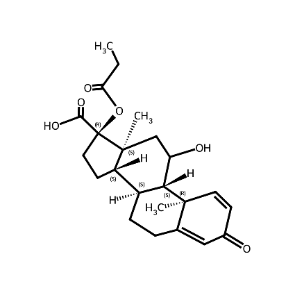 CCC(=O)O[C@]1(C(=O)O)CC[C@H]2[C@@H]3CCC4=CC(=O)C=C[C@]4(C)[C@H]3C(O)C[C@@]21C